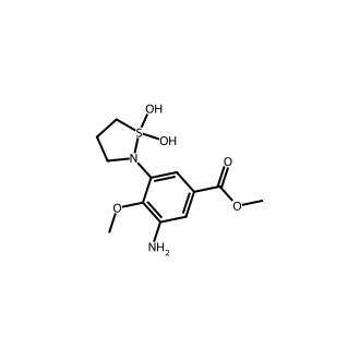 COC(=O)c1cc(N)c(OC)c(N2CCCS2(O)O)c1